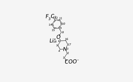 O=C([O-])CCN1CCC(OCc2ccc(C(F)(F)F)cc2)CC1.[Li+]